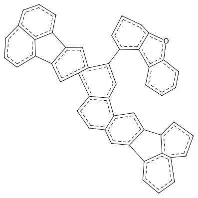 c1cc2c3c(cccc3c1)-c1cc3c(ccc4c5cc6c(cc5c(-c5cccc7oc8ccccc8c57)cc34)-c3cccc4cccc-6c34)cc1-2